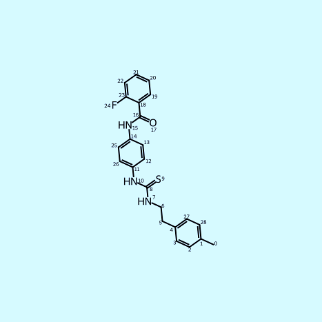 Cc1ccc(CCNC(=S)Nc2ccc(NC(=O)c3ccccc3F)cc2)cc1